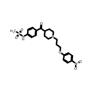 CS(=O)(=O)Nc1ccc(C(=O)C2CCN(CCCOc3ccc([N+](=O)[O-])cc3)CC2)cc1